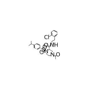 CC(=O)N1CCN(S(=O)(=O)c2ccc(C(C)C)cc2)[C@@H](C(=O)NCCc2ccccc2Cl)C1